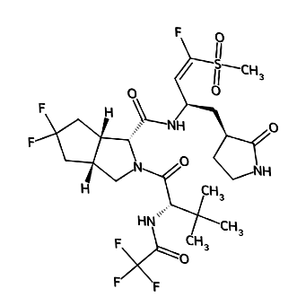 CC(C)(C)[C@H](NC(=O)C(F)(F)F)C(=O)N1C[C@@H]2CC(F)(F)C[C@@H]2[C@@H]1C(=O)N[C@@H](/C=C(/F)S(C)(=O)=O)C[C@@H]1CCNC1=O